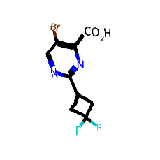 O=C(O)c1nc(C2CC(F)(F)C2)ncc1Br